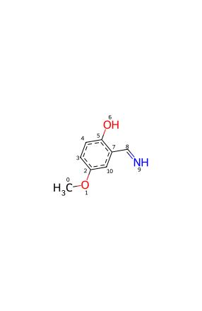 COc1ccc(O)c(C=N)c1